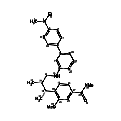 CCN(C)c1ccc(-c2cc(NCC(C)[C@@H](C)c3ccc(C(=O)NC)cc3OC)ncn2)cn1